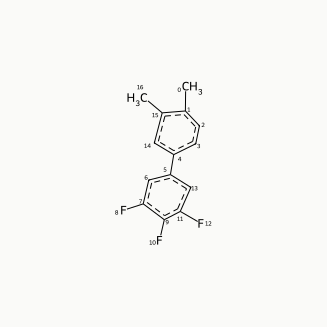 Cc1ccc(-c2cc(F)c(F)c(F)c2)cc1C